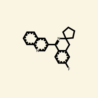 Fc1ccc2c(c1)CC1(CCCC1)N=C2c1cnc2ccccc2c1